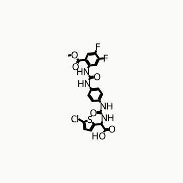 COC(=O)c1cc(F)c(F)cc1NC(=O)Nc1ccc(NC(=O)NC(C(=O)O)c2ccc(Cl)s2)cc1